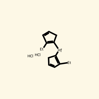 CCC1=[C]([Hf][C]2=C(CC)C=CC2)CC=C1.Cl.Cl